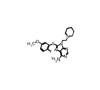 COc1ccc(I)c(Sc2nc3c(N)ncnc3n2CCN2CCCCC2)c1